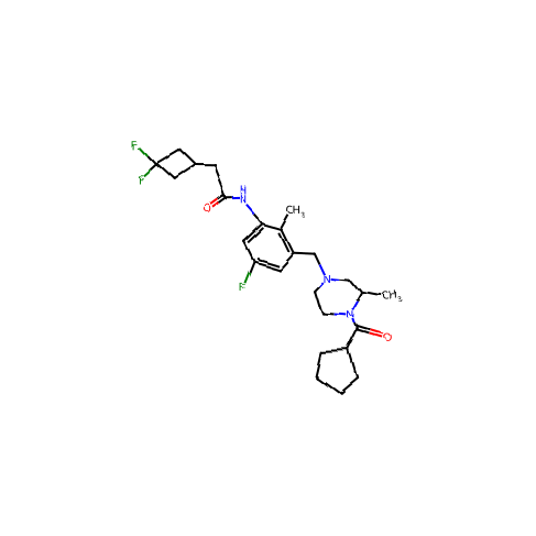 Cc1c(CN2CCN(C(=O)C3CCCC3)C(C)C2)cc(F)cc1NC(=O)CC1CC(F)(F)C1